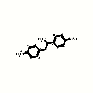 CCCCc1ccc([C](C)Cc2ccc(C)cc2)cc1